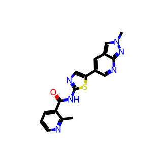 Cc1ncccc1C(=O)Nc1ncc(-c2cnc3nn(C)cc3c2)s1